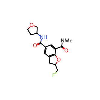 CNC(=O)c1cc(C(=O)NC2CCOC2)cc2c1OC(CF)C2